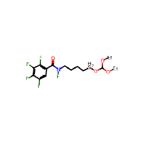 CCOC(OCC)O[SiH2]CCCCN(F)C(=O)c1cc(F)c(F)c(F)c1F